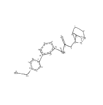 O=C(CC1CN2CCC1CC2)Nc1cccc(-c2ccc(CO)cc2)c1